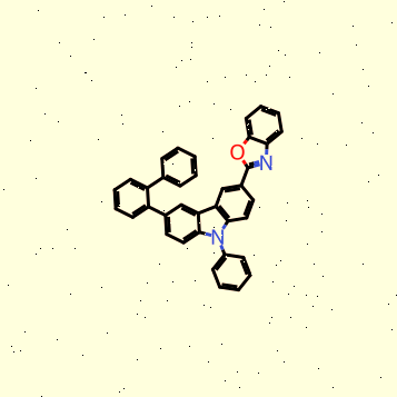 c1ccc(-c2ccccc2-c2ccc3c(c2)c2cc(-c4nc5ccccc5o4)ccc2n3-c2ccccc2)cc1